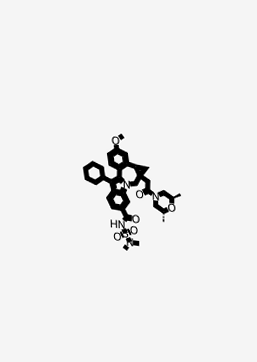 COc1ccc2c(c1)C1CC1(CC(=O)N1C[C@@H](C)O[C@H](C)C1)Cn1c-2c(C2CCCCC2)c2ccc(C(=O)NS(=O)(=O)N(C)C)cc21